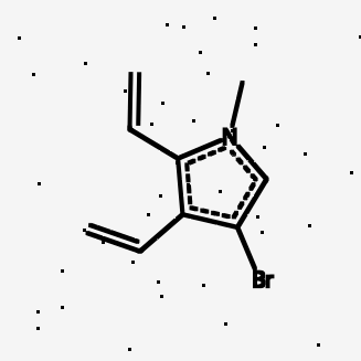 C=Cc1c(Br)cn(C)c1C=C